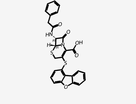 O=C(Cc1ccccc1)N[C@@H]1C(=O)N2C(C(=O)O)=C(Sc3cccc4oc5ccccc5c34)CS[C@H]12